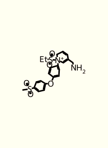 CCS(=O)(=O)[N+]1(c2ccc(Oc3ccc(S(C)(=O)=O)cc3)cc2)C=C(CN)C=CC1